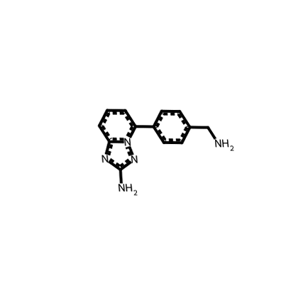 NCc1ccc(-c2cccc3nc(N)nn23)cc1